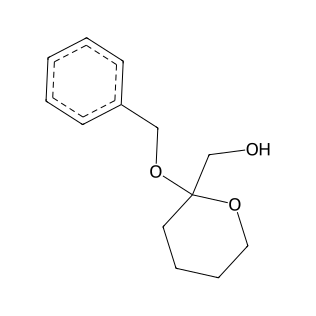 OCC1(OCc2ccccc2)CCCCO1